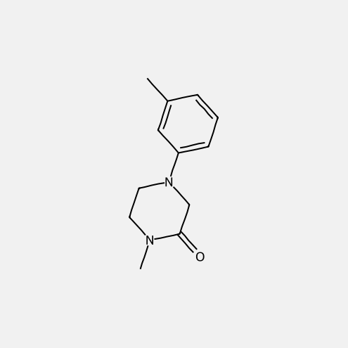 Cc1cccc(N2CCN(C)C(=O)C2)c1